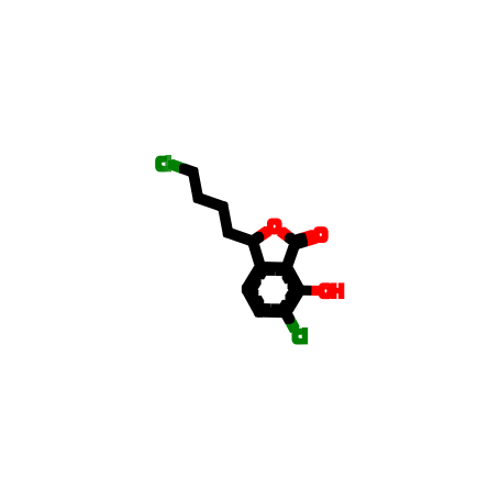 O=C1OC(CCCCCl)c2ccc(Cl)c(O)c21